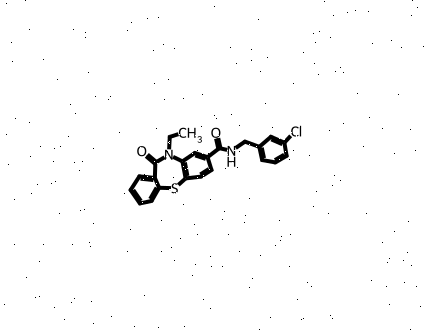 CCN1C(=O)c2ccccc2Sc2ccc(C(=O)NCc3cccc(Cl)c3)cc21